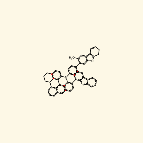 Cc1cc2c3c(oc2cc1-c1ccc(N(c2ccccc2-c2cccc4c2sc2ccccc24)c2ccccc2-c2cccc4cccc(C5CCCCC5)c24)cc1)CCC=C3